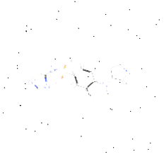 CN(c1cc(F)c(S(=O)(=O)Nc2ncns2)c(F)c1Cl)[C@H]1CCNC1